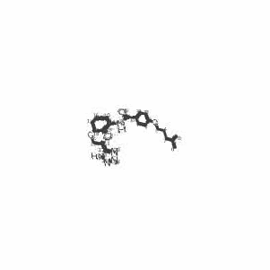 CC(C)CCCOc1ccc(C(=O)Nc2cccc3c2OC(c2nnn[nH]2)CO3)cc1